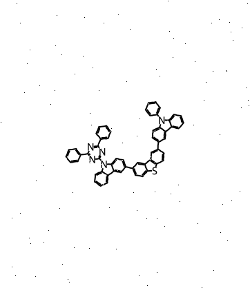 c1ccc(-c2nc(-c3ccccc3)nc(-n3c4ccccc4c4cc(-c5ccc6sc7ccc(-c8ccc9c(c8)c8ccccc8n9-c8ccccc8)cc7c6c5)ccc43)n2)cc1